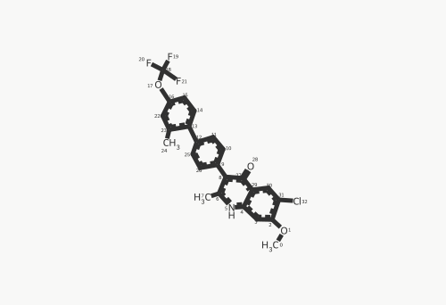 COc1cc2[nH]c(C)c(-c3ccc(-c4ccc(OC(F)(F)F)cc4C)cc3)c(=O)c2cc1Cl